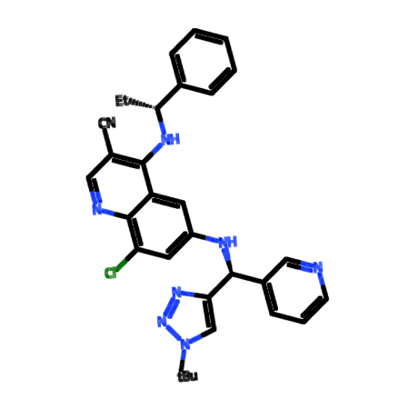 CC[C@@H](Nc1c(C#N)cnc2c(Cl)cc(N[C@@H](c3cccnc3)c3cn(C(C)(C)C)nn3)cc12)c1ccccc1